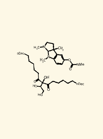 CCCCCCCCCCCCCCCC(=O)C(O)(C(=O)CCCCCCCCCCCCCCC)C(O)CO.CNC(=O)Oc1ccc2c(c1)C1(C)CCN(C)C1N2C